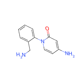 NCc1ccccc1-n1ccc(N)cc1=O